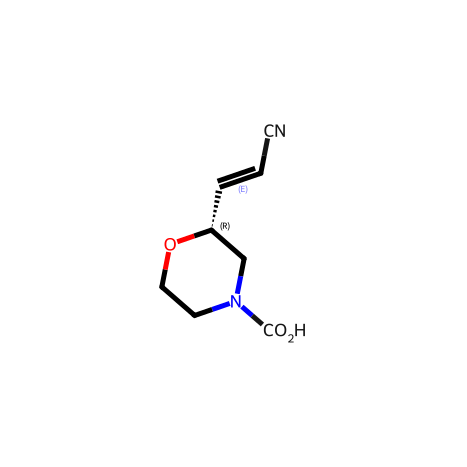 N#C/C=C/[C@@H]1CN(C(=O)O)CCO1